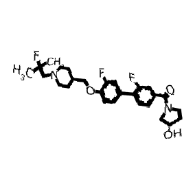 CC(C)(F)CN1CCC(COc2ccc(-c3ccc(C(=O)N4CC[C@H](O)C4)cc3F)cc2F)CC1